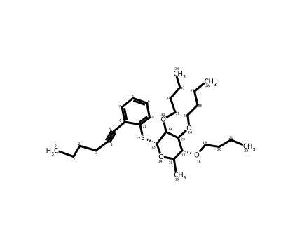 CCCCC#Cc1ccccc1S[C@H]1OC(C)[C@@H](OCCCC)C(OCCCC)C1OCCCC